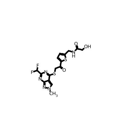 Cn1cc2c(SCC(=O)c3ccc(CNC(=O)CO)s3)nc(C(F)F)nc2n1